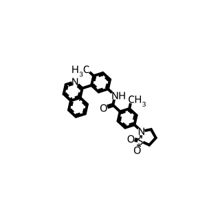 Cc1cc(N2CCCS2(=O)=O)ccc1C(=O)Nc1ccc(C)c(-c2nccc3ccccc23)c1